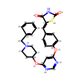 O=C1NC(=O)C(=Cc2ccc(Oc3cc(OC4CCN(Cc5ccccc5)CC4)ncn3)cc2)S1